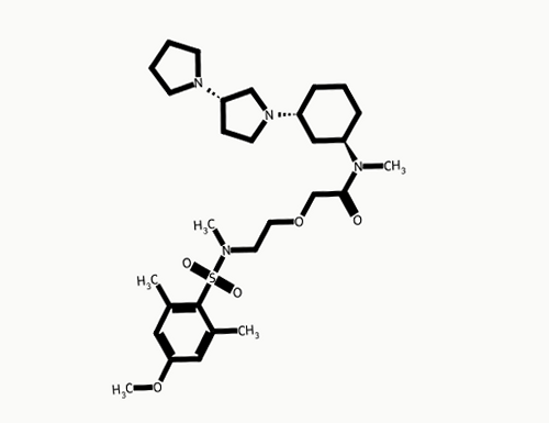 COc1cc(C)c(S(=O)(=O)N(C)CCOCC(=O)N(C)[C@@H]2CCC[C@@H](N3CC[C@H](N4CCCC4)C3)C2)c(C)c1